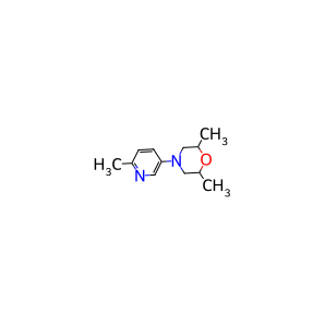 Cc1ccc(N2CC(C)OC(C)C2)cn1